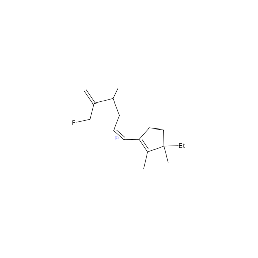 C=C(CF)C(C)C/C=C\C1=C(C)C(C)(CC)CC1